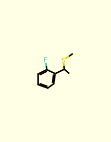 CSC(C)c1ccccc1F